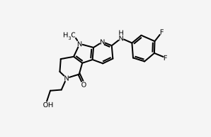 Cn1c2c(c3ccc(Nc4ccc(F)c(F)c4)nc31)C(=O)N(CCO)CC2